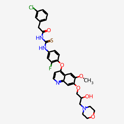 COc1cc2c(Oc3ccc(NC(=S)NC(=O)Cc4cccc(Cl)c4)cc3F)ccnc2cc1OCC(O)CN1CCOCC1